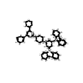 c1ccc(-c2cc(-c3ccccc3)nc(-c3ccc(-c4cc(-n5c6ccccc6c6ccccc65)cc(-n5c6ccccc6c6ccccc65)c4)cc3)n2)cc1